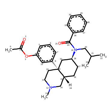 CC(=O)Oc1cccc([C@@]23CCN(C)C[C@H]2CC[C@H](N(CC(C)C)C(=O)c2ccccc2)C3)c1